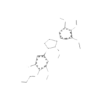 CCCOc1c(Br)cc([C@H]2CC[C@H](c3cc(OC)c(OC)c(OC)c3)[C@H]2OC)cc1OC